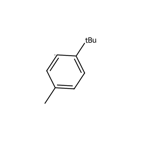 Cc1c[c]c(C(C)(C)C)cc1